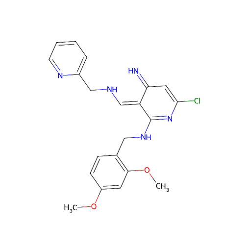 COc1ccc(CNC2=NC(Cl)=CC(=N)/C2=C\NCc2ccccn2)c(OC)c1